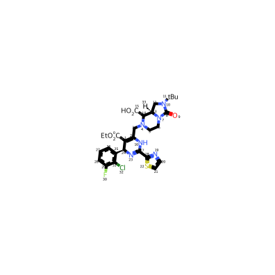 CCOC(=O)C1=C(CN2CCN3C(=O)N(C(C)(C)C)C[C@@H]3C2C(=O)O)NC(c2nccs2)=N[C@H]1c1cccc(F)c1Cl